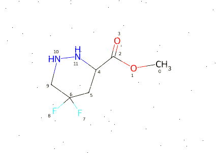 COC(=O)C1CC(F)(F)CNN1